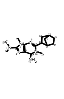 CC(C)N(C)c1nc2c(n1C)N=C(C1CC3CCC1C3)N(C)C2N